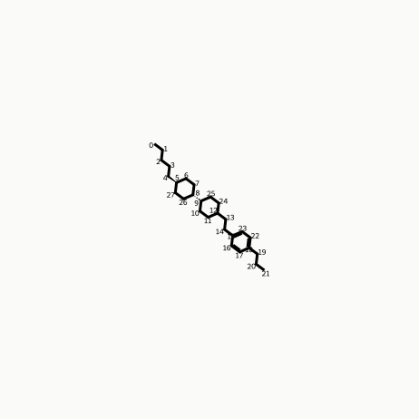 CCCCC[C@H]1CC[C@H](C2CCC(CCc3ccc(CCC)cc3)CC2)CC1